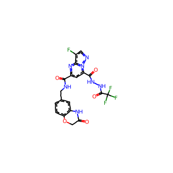 O=C1COc2ccc(CNC(=O)c3cc(C(=O)NNC(=O)C(F)(F)F)n4ncc(F)c4n3)cc2N1